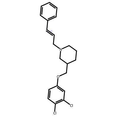 Clc1ccc(OCC2CCCN(C/C=C/c3ccccc3)C2)cc1Cl